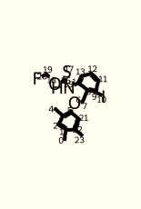 Cc1cc(C)c(OCc2c(I)cccc2NC(=S)OCF)cc1C